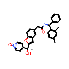 Cc1ccc(C(NC(=O)Cc2ccc3oc([C@@](C)(O)c4cc[n+]([O-])cc4)cc3c2)c2ccccc2)c(C)c1